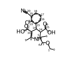 CCOC(C)C1(C)NC(C)=C(C(=O)O)C(c2cccc(C#N)c2Cl)C1C(=O)O